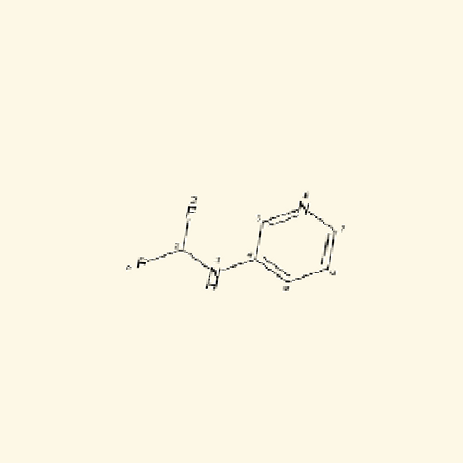 FC(F)Nc1[c]nccc1